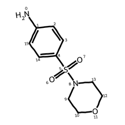 Nc1ccc(S(=O)(=O)N2CCOCC2)cc1